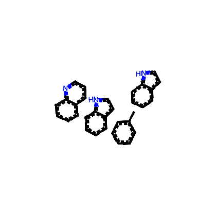 Cc1ccccc1.c1ccc2[nH]ccc2c1.c1ccc2[nH]ccc2c1.c1ccc2ncccc2c1